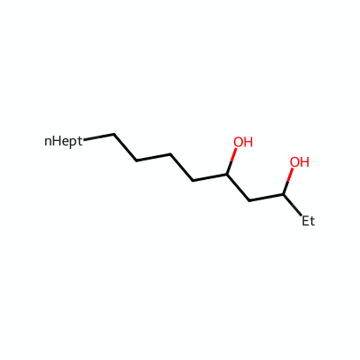 CCCCCCCCCCCC(O)CC(O)CC